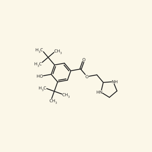 CC(C)(C)c1cc(C(=O)OCC2NCCN2)cc(C(C)(C)C)c1O